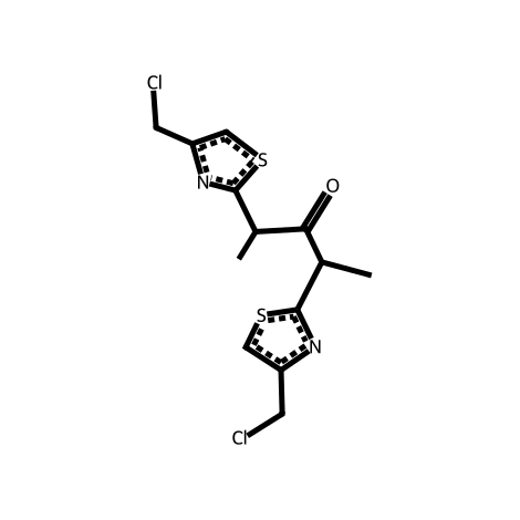 CC(C(=O)C(C)c1nc(CCl)cs1)c1nc(CCl)cs1